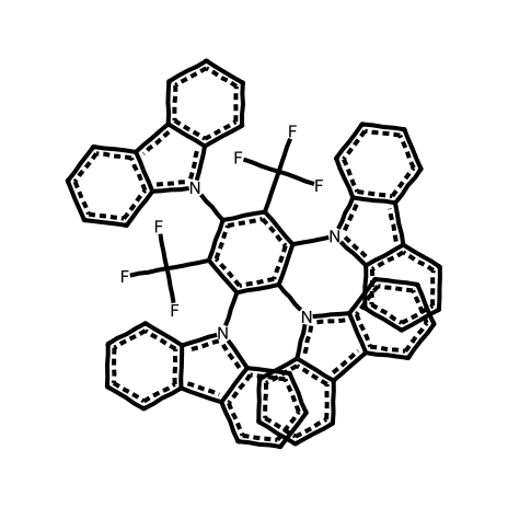 FC(F)(F)c1c(-n2c3ccccc3c3ccccc32)c(-n2c3ccccc3c3ccccc32)c(-n2c3ccccc3c3ccccc32)c(C(F)(F)F)c1-n1c2ccccc2c2ccccc21